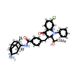 COC(=O)c1c(Cc2ccc(C(=O)NC3[C@@H]4CC5C[C@H]3CC(N)(C5)C4)cc2)c(=O)c2ccc(Cl)cc2n1-c1ccccc1